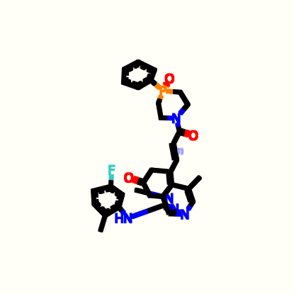 CC1=CN=C2N=C(Nc3cc(F)ccc3C)N(C)C23CC(=O)CC(/C=C/C(=O)N2CCP(=O)(c4ccccc4)CC2)=C13